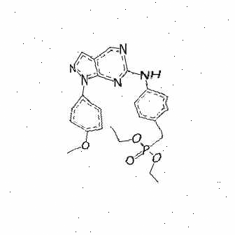 CCOP(=O)(Cc1ccc(Nc2ncc3cnn(-c4ccc(OC)cc4)c3n2)cc1)OCC